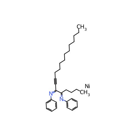 CCCCCCCCCCCC#CC(=Nc1ccccc1)C(CCCC)=Nc1ccccc1.[Ni]